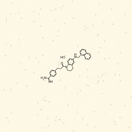 Cl.N=C(N)c1ccc(CCC(=O)N2CCCc3cc(NCc4cccc5ccccc45)ccc32)cc1